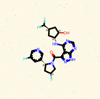 O=C(c1n[nH]c2ncnc(N[C@@H]3C[C@@H](C(F)F)C[C@H]3O)c12)N1C[C@@H](F)C[C@@H]1c1cncc(F)c1